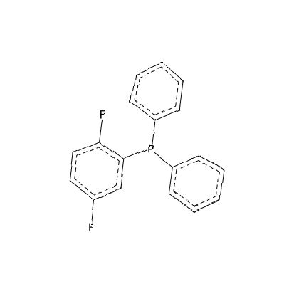 Fc1ccc(F)c(P(c2ccccc2)c2ccccc2)c1